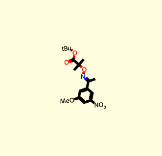 COc1cc(C(C)=NOC(C)(C)C(=O)OC(C)(C)C)cc([N+](=O)[O-])c1